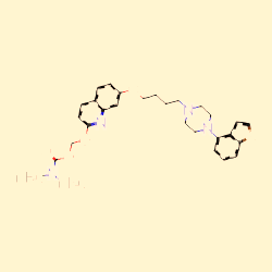 CCCCN(CCCC)C(=O)OCOc1ccc2ccc(OCCCCN3CCN(c4cccc5sccc45)CC3)cc2n1